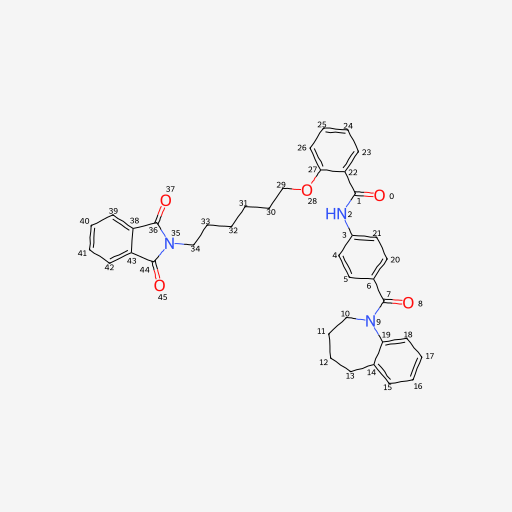 O=C(Nc1ccc(C(=O)N2CCCCc3ccccc32)cc1)c1ccccc1OCCCCCCN1C(=O)c2ccccc2C1=O